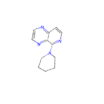 c1cc2nccnc2c(N2CCCCC2)n1